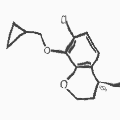 C[C@H]1CCOc2c1ccc(Cl)c2OCC1CC1